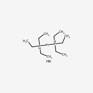 Br.CC[PH](CC)(CC)[Pt][PH](CC)(CC)CC